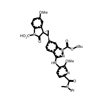 COc1ccc2c(c1)[C@]1(C[C@H]1c1ccc3c(Nc4ccc(C(=O)N(C)C(C)C)nc4OC)nn(C(=O)OC(C)(C)C)c3c1)C(=O)N2C(=O)O